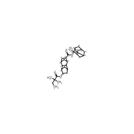 CCC(C)(C)C(=O)OC1CC2CC1C1C3CC(C(=O)OC4(C)C5CC6CC(C5)CC4C6)C(C3)C21